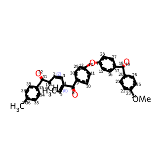 C=C(/C=C\C(=C/C)C(=O)c1ccc(Oc2ccc(C(=O)c3ccc(OC)cc3)cc2)cc1)C(=O)c1ccc(C)cc1